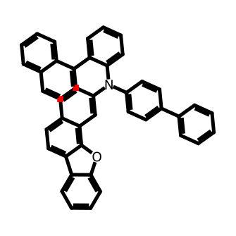 c1ccc(-c2ccc(N(c3ccc4ccc5c6ccccc6oc5c4c3)c3ccccc3-c3cccc4ccccc34)cc2)cc1